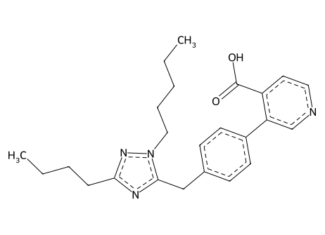 CCCCCn1nc(CCCC)nc1Cc1ccc(-c2cnccc2C(=O)O)cc1